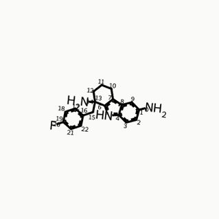 Nc1ccc2[nH]c3c(c2c1)CCCC3(N)Cc1ccc(F)cc1